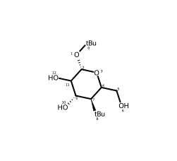 CC(C)(C)O[C@@H]1OC(CO)[C@@H](C(C)(C)C)[C@H](O)C1O